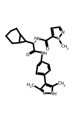 Cc1n[nH]c(C)c1-c1ccc(NC(=O)[C@@H](NC(=O)c2ccnn2C)C2C3CCCCC32)cc1